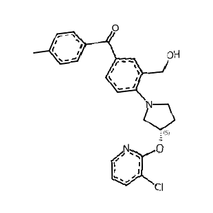 Cc1ccc(C(=O)c2ccc(N3CC[C@H](Oc4ncccc4Cl)C3)c(CO)c2)cc1